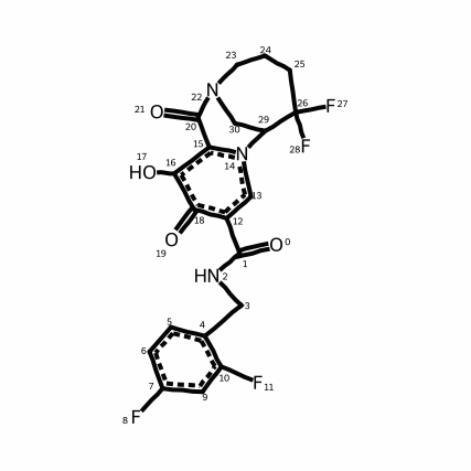 O=C(NCc1ccc(F)cc1F)c1cn2c(c(O)c1=O)C(=O)N1CCCC(F)(F)C2C1